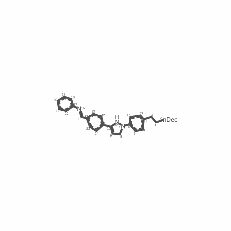 CCCCCCCCCCCCc1ccc(N2CC=C(c3ccc(C=Nc4ccccc4)cc3)N2)cc1